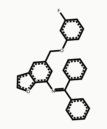 Fc1cccc(OCc2cc(N=C(c3ccccc3)c3ccccc3)c3occc3c2)c1